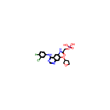 O=C(COP(=O)(O)O)Nc1cc2c(Nc3ccc(F)c(Cl)c3)ncnc2cc1OC1CCOC1